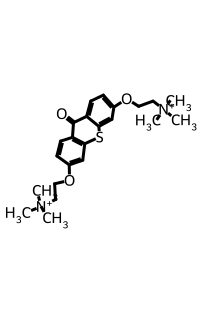 C[N+](C)(C)CCOc1ccc2c(=O)c3ccc(OCC[N+](C)(C)C)cc3sc2c1